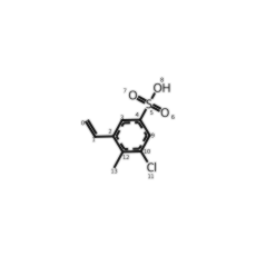 C=Cc1cc(S(=O)(=O)O)cc(Cl)c1C